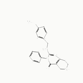 COc1ccc(CNc2nc3c(c(=O)n2-c2ccccc2)CNCC3)cc1